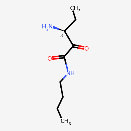 CCCCNC(=O)C(=O)[C@@H](N)CC